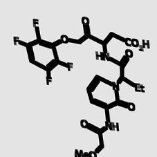 CCC(C(=O)NC(CC(=O)O)C(=O)COc1c(F)c(F)cc(F)c1F)n1cccc(NC(=O)COC)c1=O